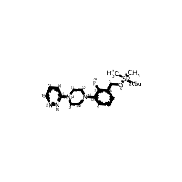 CC(C)(C)[Si](C)(C)OCc1cccc(N2CCN(c3cccnn3)CC2)c1F